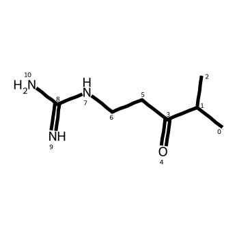 CC(C)C(=O)CCNC(=N)N